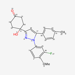 COc1ccc(-n2nc(C3(O)CCC(=O)CC3)cc2-c2ccc(C)cc2)cc1F